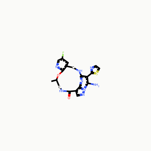 CC1CNC(=O)c2cnn3c(N)c(-c4nccs4)c(nc23)NCc2cc(F)cnc2O1